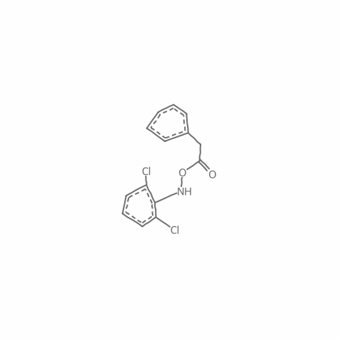 O=C(Cc1ccccc1)ONc1c(Cl)cccc1Cl